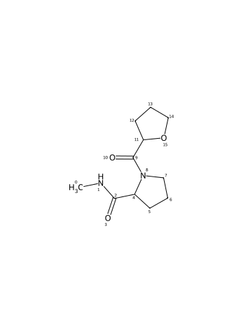 CNC(=O)C1CCCN1C(=O)C1CCCO1